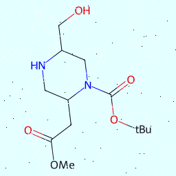 COC(=O)CC1CNC(CO)CN1C(=O)OC(C)(C)C